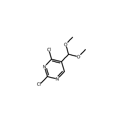 COC(OC)c1cnc(Cl)nc1Cl